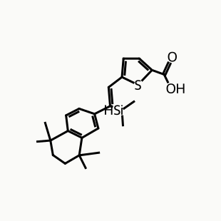 C[SiH](C)/C(=C\c1ccc(C(=O)O)s1)c1ccc2c(c1)C(C)(C)CCC2(C)C